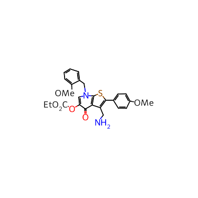 CCOC(=O)Oc1cn(Cc2ccccc2OC)c2sc(-c3ccc(OC)cc3)c(CN)c2c1=O